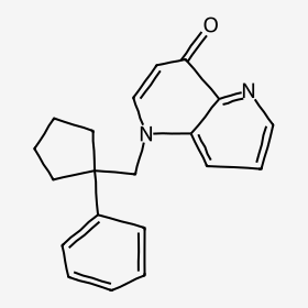 O=c1ccn(CC2(c3ccccc3)CCCC2)c2cccnc12